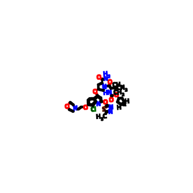 Cc1nnc(Oc2cc(O[C@@H]3C[C@@H](C(N)=O)N(C(=O)[C@@H](NC(=O)O[C@@H]4C[C@@H]5C[C@@H]5C4)C(C)(C)C)C3)c3ccc(OCCN4CCOCC4)c(Cl)c3n2)s1